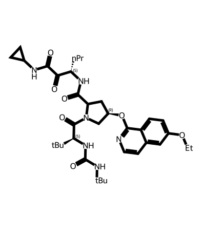 CCC[C@H](NC(=O)C1C[C@@H](Oc2nccc3cc(OCC)ccc23)CN1C(=O)[C@@H](NC(=O)NC(C)(C)C)C(C)(C)C)C(=O)C(=O)NC1CC1